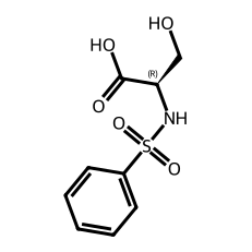 O=C(O)[C@@H](CO)NS(=O)(=O)c1ccccc1